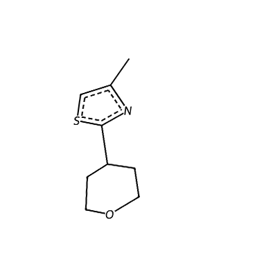 Cc1csc(C2CCOCC2)n1